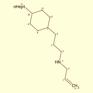 C=CCNCCCC1CCC(CCCCCCC)CC1